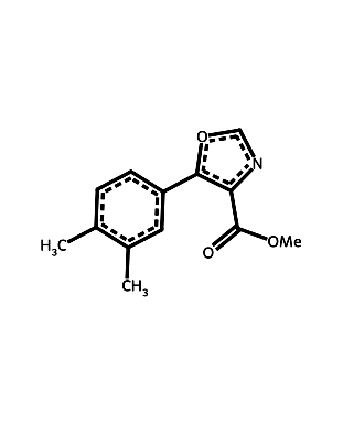 COC(=O)c1ncoc1-c1ccc(C)c(C)c1